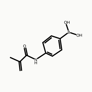 C=C(C)C(=O)Nc1ccc(B(O)O)cc1